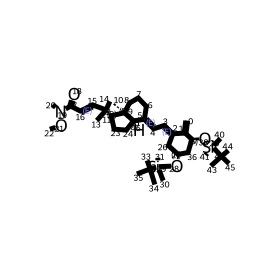 C=C1/C(=C/C=C2\CCC[C@]3(C)[C@@H](C(C)(C)/C=C/C(=O)N(C)OC)CC[C@@H]23)C[C@@H](O[Si](C)(C)C(C)(C)C)C[C@@H]1O[Si](C)(C)C(C)(C)C